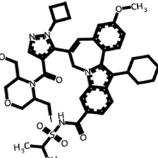 COc1ccc2c(c1)C=C(c1c(C(=O)N3C(CO)COCC3CI)cnn1C1CCC1)Cn1c-2c(C2CCCCC2)c2ccc(C(=O)NS(=O)(=O)C(C)C)cc21